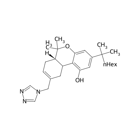 CCCCCCC(C)(C)c1cc(O)c2c(c1)OC(C)(C)[C@H]1CC=C(Cn3cnnc3)CC21